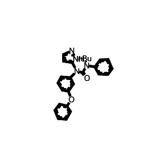 CCCCN(C(=O)N(c1cccc(Oc2ccccc2)c1)c1ccn[nH]1)c1ccccc1